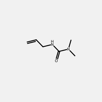 C=CCNC(=O)N(C)C